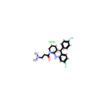 CCN(CC)CCC(=O)N1CCC[C@@H](C(c2ccc(F)cc2)c2ccc(F)cc2)[C@H]1N.Cl